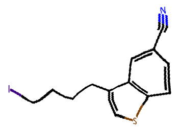 N#Cc1ccc2scc(CCCCI)c2c1